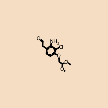 COC(COc1ccc(CC=O)c(N)c1Cl)OC